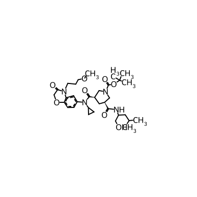 COCCCN1C(=O)COc2ccc(N(C(=O)[C@@H]3C[C@H](C(=O)NC(CO)CC(C)C)CN(C(=O)OC(C)(C)C)C3)C3CC3)cc21